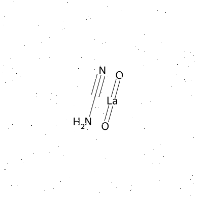 N#CN.[O]=[La]=[O]